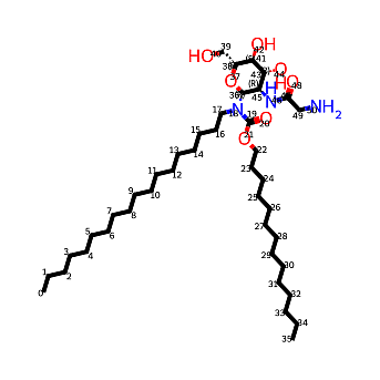 CCCCCCCCCCCCCCCCCCN(C(=O)OCCCCCCCCCCCCCC)[C@@H]1O[C@H](CO)[C@@H](O)[C@H](O)[C@H]1NC(=O)CN